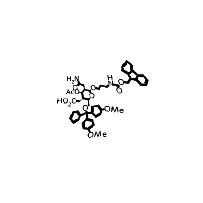 COc1ccc(C(OC[C@@H]2O[C@@H](OCCCNC(=O)OCC3c4ccccc4-c4ccccc43)[C@H](CC(N)=O)[C@H](OC(C)=O)[C@H]2CC(=O)O)(c2ccccc2)c2ccc(OC)cc2)cc1